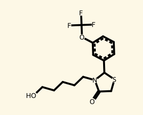 O=C1CSC(c2cccc(OC(F)(F)F)c2)N1CCCCCO